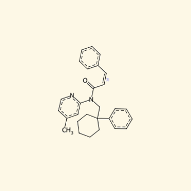 Cc1ccnc(N(CC2(c3ccccc3)CCCCC2)C(=O)/C=C\c2ccccc2)c1